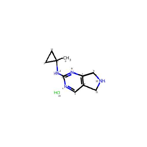 CC1(Nc2ncc3c(n2)CNC3)CC1.Cl